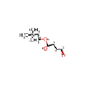 C[Si](C)(C)CCOC(=O)CCC=O